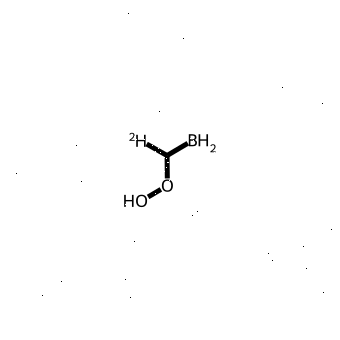 [2H]C(B)OO